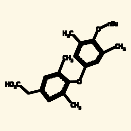 CCCCOc1c(C)cc(Oc2c(C)cc(CC(=O)O)cc2C)cc1C